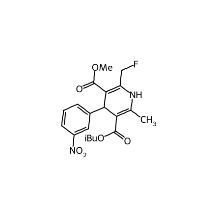 COC(=O)C1=C(CF)NC(C)=C(C(=O)OCC(C)C)C1c1cccc([N+](=O)[O-])c1